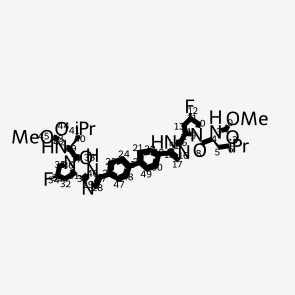 COC(=O)N[C@@H](CC(C)C)C(=O)N1C[C@H](F)CC1c1ncc(-c2ccc(-c3ccc(-c4cnc([C@@H]5C[C@@H](F)CN5C(=O)[C@H](CC(C)C)NC(=O)OC)[nH]4)cc3)cc2)[nH]1